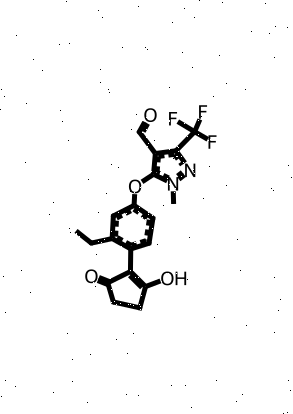 CCc1cc(Oc2c(C=O)c(C(F)(F)F)nn2C)ccc1C1=C(O)CCC1=O